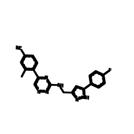 Cc1cc(C#N)ccc1-c1cnnc(NCc2cc(-c3ccc(F)cc3)[nH]n2)n1